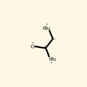 CC(C)(C)CC(Cl)C(C)(C)C